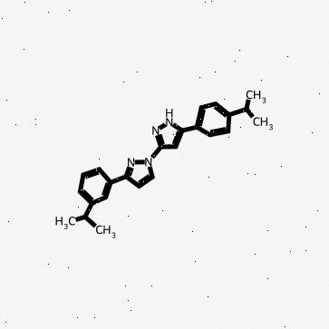 CC(C)c1ccc(-c2cc(-n3ccc(-c4cccc(C(C)C)c4)n3)n[nH]2)cc1